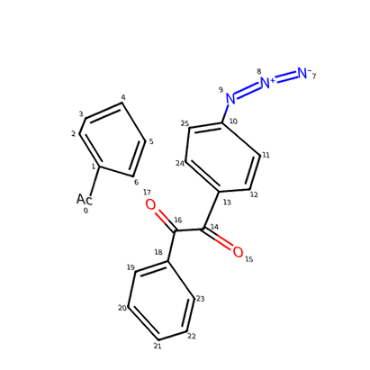 CC(=O)c1ccccc1.[N-]=[N+]=Nc1ccc(C(=O)C(=O)c2ccccc2)cc1